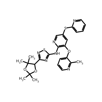 Cc1ncccc1Oc1cc(Sc2ccccn2)cnc1Nc1nc(C2OC(C)(C)OC2(C)C)ns1